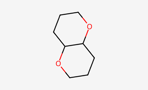 C1COC2CCCOC2C1